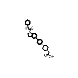 O=C(O)C[C@H]1CC[C@H](c2ccc(-c3ccc4c(c3)CCN4C(=S)Nc3ccccc3)cc2)CC1